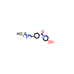 CN(CC[C@H]1CC[C@H](C(=O)N2CCC(O)CC2)CC1)C(=O)O